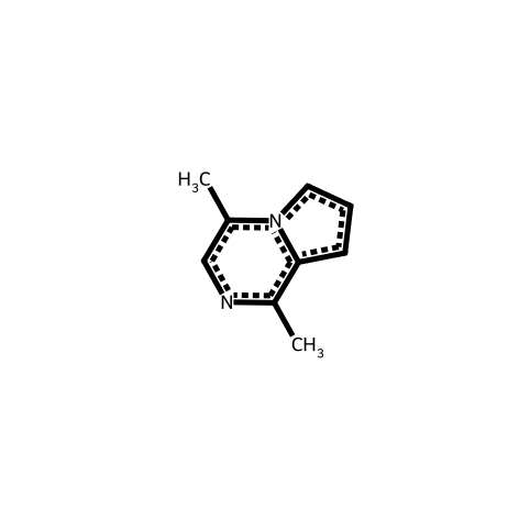 Cc1ncc(C)n2cccc12